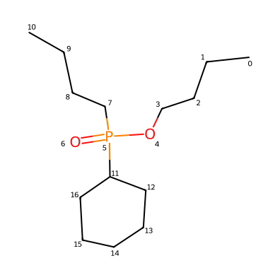 CCCCOP(=O)(CCCC)C1CCCCC1